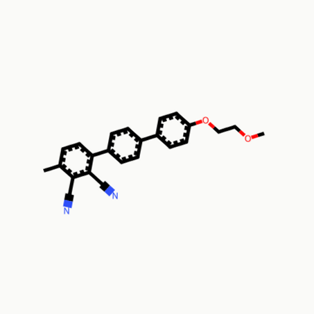 COCCOc1ccc(-c2ccc(-c3ccc(C)c(C#N)c3C#N)cc2)cc1